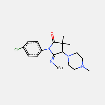 CN1CCN(C2/C(=N\C(C)(C)C)N(c3ccc(Cl)cc3)C(=O)C2(C)C)CC1